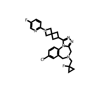 Fc1ccc(N2CC3(CC(c4nnc5n4-c4ccc(Cl)cc4CN(CC4(F)CC4)C5)C3)C2)nc1